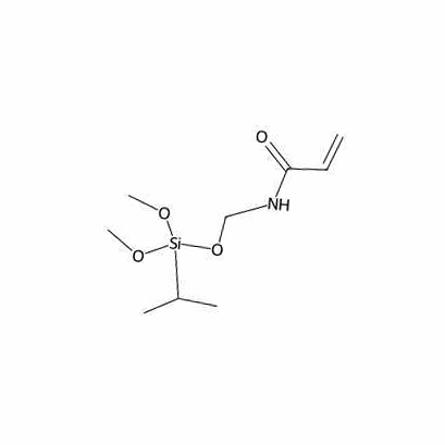 C=CC(=O)NCO[Si](OC)(OC)C(C)C